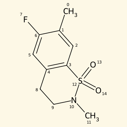 Cc1cc2c(cc1F)CCN(C)S2(=O)=O